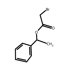 CC(OC(=O)CBr)c1ccccc1